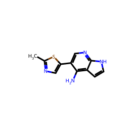 Cc1ncc(-c2cnc3[nH]ccc3c2N)s1